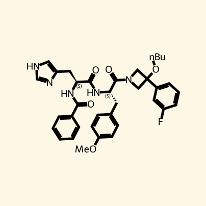 CCCCOC1(c2cccc(F)c2)CN(C(=O)[C@H](Cc2ccc(OC)cc2)NC(=O)[C@H](Cc2c[nH]cn2)NC(=O)c2ccccc2)C1